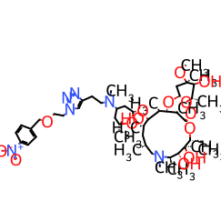 CC[C@H]1OC(=O)[C@H](C)[C@@H](O[C@H]2C[C@@](C)(OC)[C@@H](O)[C@H](C)O2)[C@H](C)[C@@H](O[C@H]2C[C@@H](N(C)CCc3cn(CCOCc4ccc([N+](=O)[O-])cc4)nn3)C[C@@H](C)O2)[C@](C)(O)C[C@@H](C)CN(C)[C@H](C)[C@@H](O)[C@]1(C)O